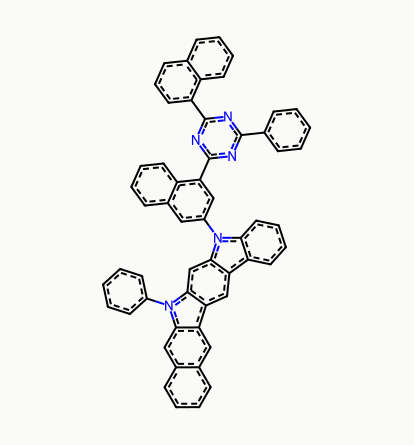 c1ccc(-c2nc(-c3cccc4ccccc34)nc(-c3cc(-n4c5ccccc5c5cc6c7cc8ccccc8cc7n(-c7ccccc7)c6cc54)cc4ccccc34)n2)cc1